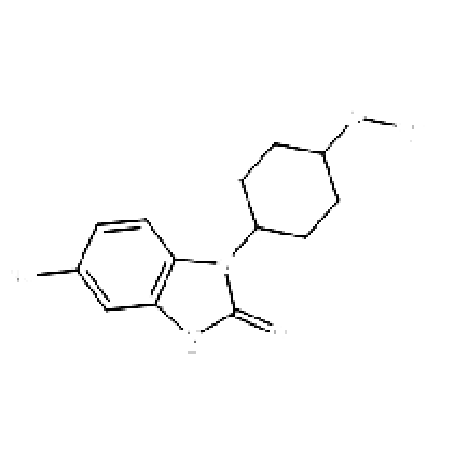 N#Cc1ccc2c(c1)[nH]c(=O)n2C1CCC(NC(=O)O)CC1